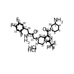 Cl.Cl.NC1CCCN(C(=O)c2nc(C(F)(F)F)n3c2CN(CC(=O)[C@H](N)Cc2cc(F)c(F)cc2F)CC3)C1